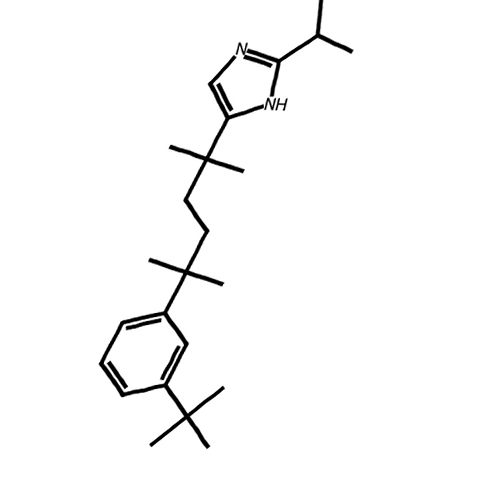 CC(C)c1ncc(C(C)(C)CCC(C)(C)c2cccc(C(C)(C)C)c2)[nH]1